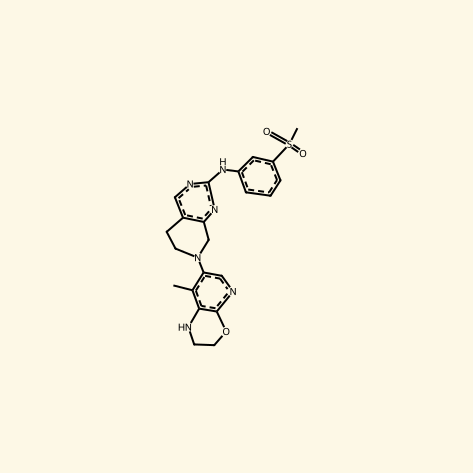 Cc1c(N2CCc3cnc(Nc4cccc(S(C)(=O)=O)c4)nc3C2)cnc2c1NCCO2